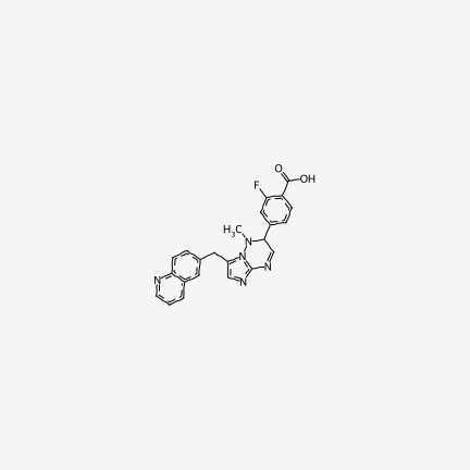 CN1C(c2ccc(C(=O)O)c(F)c2)C=Nc2ncc(Cc3ccc4ncccc4c3)n21